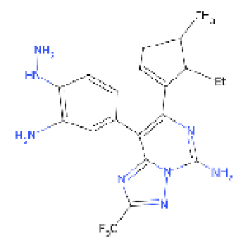 CCC1C(c2nc(N)n3nc(C(F)(F)F)nc3c2-c2ccc(NN)c(N)c2)=CCC1C